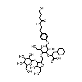 O=C(CCCS)NCCc1ccc(OC2OC(CO)C(OCC3OC(CO)C(O)C3OC3OC(CO)C(O)C(O)C3O)C(OC(CC3CCCCC3)C(=O)O)C2O)cc1